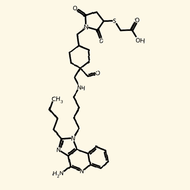 CCCCc1nc2c(N)nc3ccccc3c2n1CCCCNCC1(C=O)CCC(CN2C(=O)CC(SCC(=O)O)C2=O)CC1